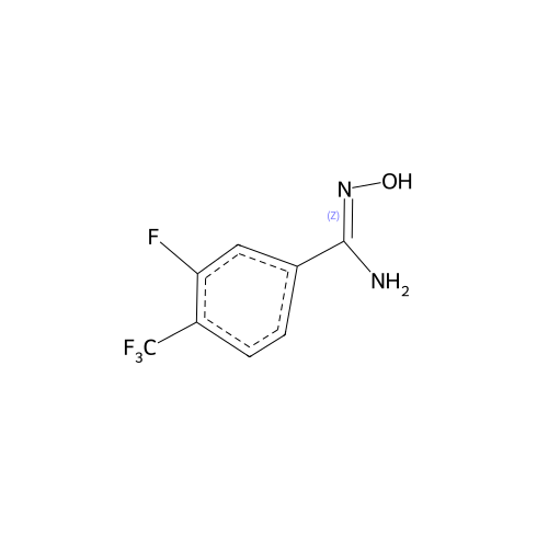 N/C(=N\O)c1ccc(C(F)(F)F)c(F)c1